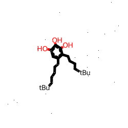 CC(C)(C)CCCCCc1cc(O)c(O)c(O)c1CCCCC(C)(C)C